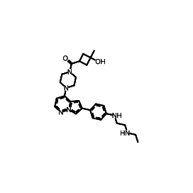 CCNCCNc1ccc(-c2cc3c(N4CCN(C(=O)C5CC(C)(O)C5)CC4)ccnn3c2)cc1